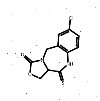 O=C1OCC2C(=S)Nc3ccc(Cl)cc3CN12